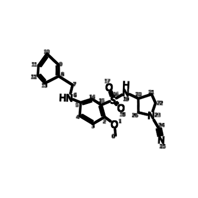 COc1ccc(NCc2ccccc2)cc1S(=O)(=O)NC1CCN(C#N)C1